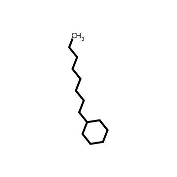 CCCCCCCCC1CC[CH]CC1